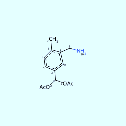 CC(=O)OC(OC(C)=O)c1ccc(C)c(CN)c1